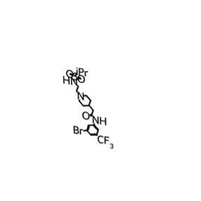 CC(C)S(=O)(=O)NCCN1CCC(CC(=O)Nc2cc(Br)cc(C(F)(F)F)c2)CC1